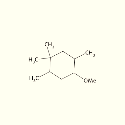 COC1CC(C)C(C)(C)CC1C